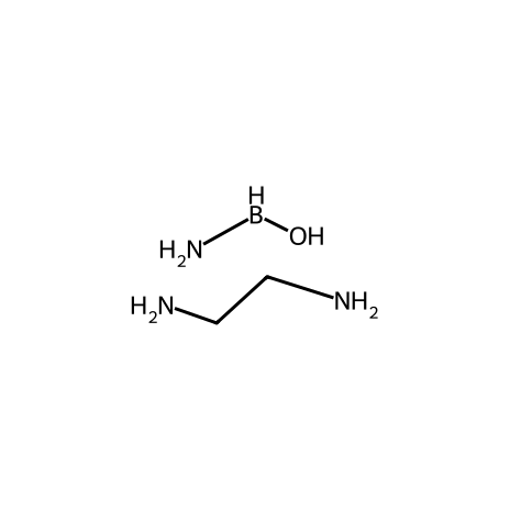 NBO.NCCN